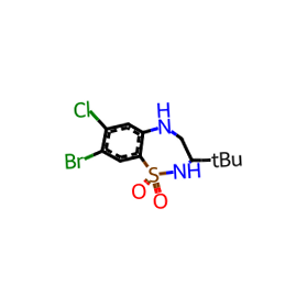 CC(C)(C)C1CNc2cc(Cl)c(Br)cc2S(=O)(=O)N1